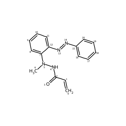 C=CC(=O)NN(C)c1ccccc1N=Nc1ccccc1